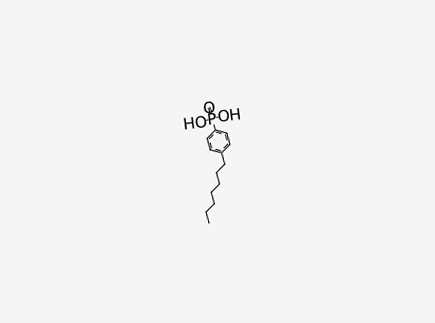 CCCCCCCc1ccc(P(=O)(O)O)cc1